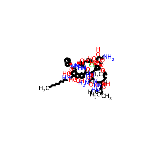 CCCCCCCCCCNCc1c(O)cc2c3c1C(O)(O)c1ccc(cc1-3)[C@H]1NC(=O)[C@@H]3NC(=O)[C@H](CC(N)=O)NC(=O)[C@H](NC(=O)[C@@H](CC(C)C)NC)[C@H](O)c4ccc(c(C)c4)Oc4cc3cc(c4O[C@@H]3O[C@H](CN)[C@@H](O)[C@H](O)[C@H]3O)Oc3ccc(cc3Cl)[C@@H](O)[C@H](NC1=O)C(=O)N[C@@H]2C(=O)NC1C2CC3CC(C2)CC1C3